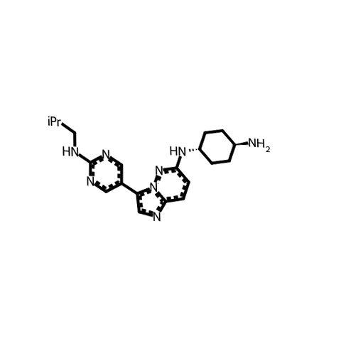 CC(C)CNc1ncc(-c2cnc3ccc(N[C@H]4CC[C@H](N)CC4)nn23)cn1